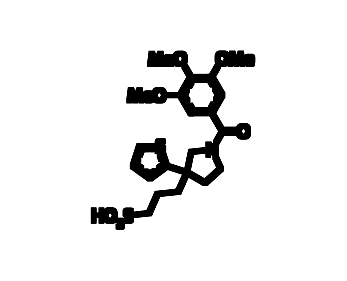 COc1cc(C(=O)N2CCC(CCCS(=O)(=O)O)(c3cccs3)C2)cc(OC)c1OC